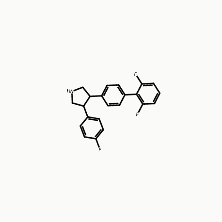 Fc1ccc(C2CNCC2c2ccc(-c3c(F)cccc3F)cc2)cc1